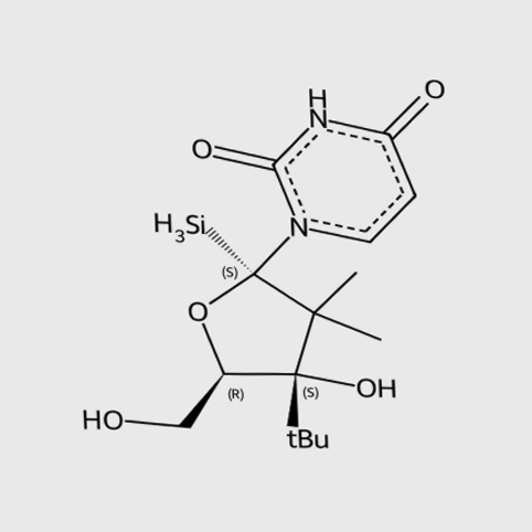 CC(C)(C)[C@@]1(O)[C@@H](CO)O[C@@]([SiH3])(n2ccc(=O)[nH]c2=O)C1(C)C